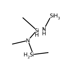 C[SiH2]N(C)[SiH](C)N[SiH3]